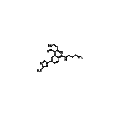 Cn1cc(-c2ccc3c(NCCCN)nc4cc[nH]c(=O)c4c3c2)cn1